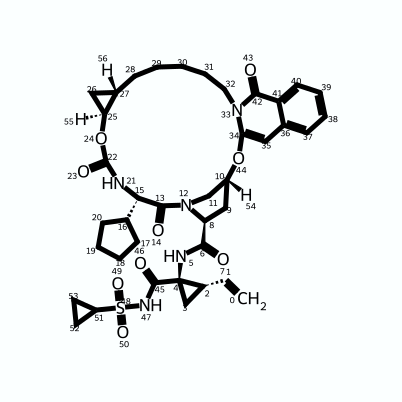 C=C[C@@H]1C[C@]1(NC(=O)[C@@H]1C[C@@H]2CN1C(=O)[C@H](C1CCCC1)NC(=O)O[C@H]1C[C@@H]1CCCCCn1c(cc3ccccc3c1=O)O2)C(=O)NS(=O)(=O)C1CC1